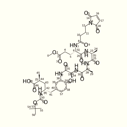 COC(=O)CC[C@H](NC(=O)CCCN1C(=O)C=CC1=O)C(=O)N[C@@H](C)C(=O)N[C@@H](C)C(=O)N[C@@H](C)C(=O)Nc1cc(C[C@@H](C[C@H](C)C(=O)O)NC(=O)OC(C)(C)C)ccc1O